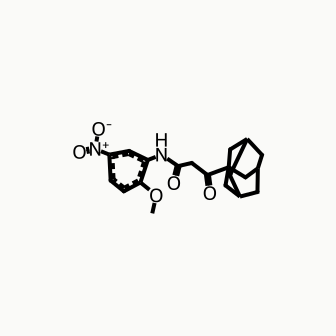 COc1ccc([N+](=O)[O-])cc1NC(=O)CC(=O)C12CC3CC(CC(C3)C1)C2